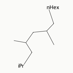 CCCCCCCC(C)CC(C)CC(C)C